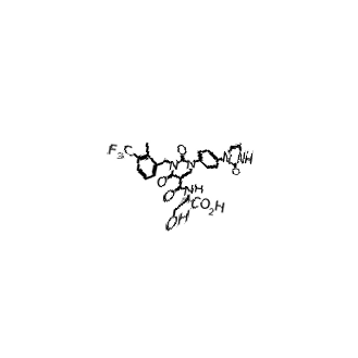 Cc1c(Cn2c(=O)c(C(=O)N[C@@H](CO)C(=O)O)cn(-c3ccc(N4CCNC4=O)cc3)c2=O)cccc1C(F)(F)F